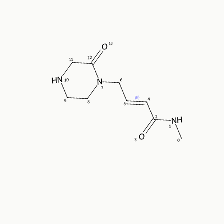 CNC(=O)/C=C/CN1CCNCC1=O